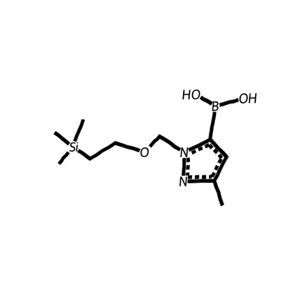 Cc1cc(B(O)O)n(COCC[Si](C)(C)C)n1